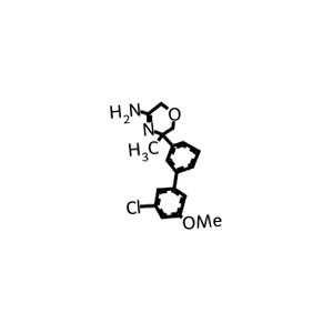 COc1cc(Cl)cc(-c2cccc(C3(C)COCC(N)=N3)c2)c1